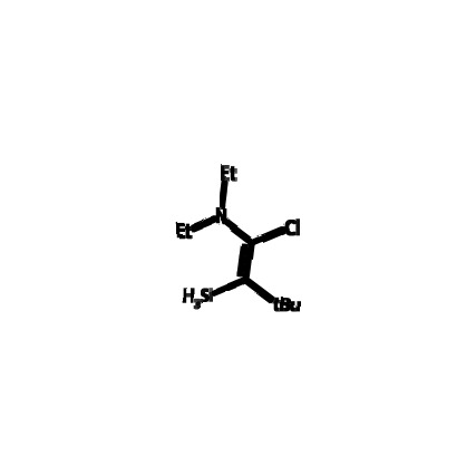 CCN(CC)C(Cl)=C([SiH3])C(C)(C)C